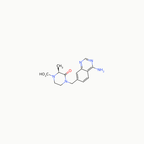 C[C@H]1C(=O)N(Cc2ccc3c(N)ncnc3c2)CCN1C(=O)O